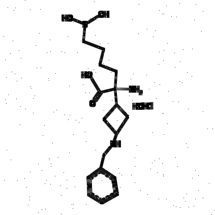 Cl.Cl.NC(CCCCB(O)O)(C(=O)O)C1CC(NCc2ccccc2)C1